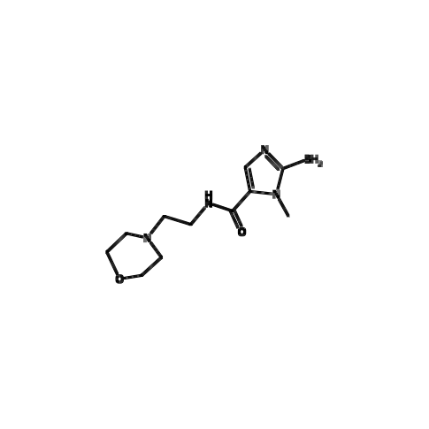 Bc1ncc(C(=O)NCCN2CCOCC2)n1C